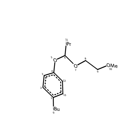 CCC(C)c1ccc(OC(OCCOC)C(C)C)cc1